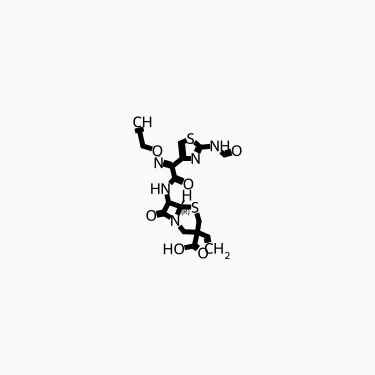 C#CCON=C(C(=O)NC1C(=O)N2CC(C=C)(C(=O)O)CS[C@H]12)c1csc(NC=O)n1